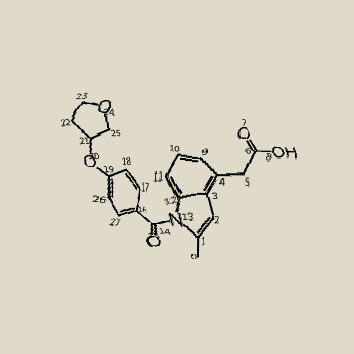 Cc1cc2c(CC(=O)O)cccc2n1C(=O)c1ccc(OC2CCOC2)cc1